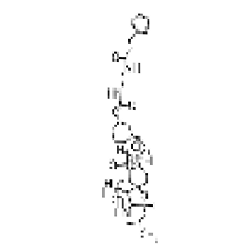 CC1=C2C(=O)[C@H]3[C@@H](CC=C4C[C@@H](OC(=O)NCCNC(=O)CCc5ccccc5)CC[C@@]43C)[C@@H]2CCC12O[C@@H]1C[C@H](C)CN[C@H]1[C@H]2C